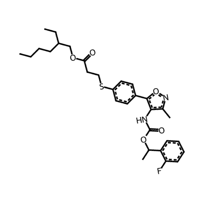 CCCCC(CC)COC(=O)CCSc1ccc(-c2onc(C)c2NC(=O)OC(C)c2ccccc2F)cc1